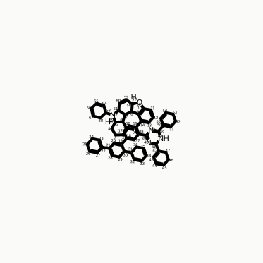 CC1CCC[C@@H]2C1C1C3c4c(cccc4-c4ccc(C5=CC(C6=CCCC=C6)=CCC5C5C=CC=CC5)cc4C4=NC(C5=CC=CCC5)NC(C5=CCCC=C5)=N4)O[C@@H]3C=CC1N2C1C=CC=CC1